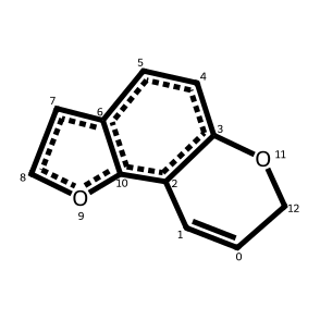 C1=Cc2c(ccc3ccoc23)OC1